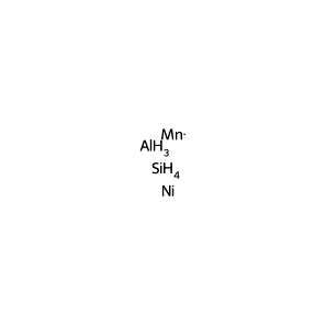 [AlH3].[Mn].[Ni].[SiH4]